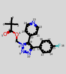 CC(C)(C)C(=O)OCn1nnc(-c2ccc(F)cc2)c1-c1ccncc1